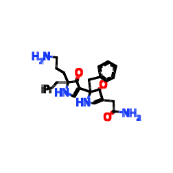 CC(C)CC1(CCCN)NC=C(C2(Cc3ccccc3)NC=C(CC(N)=O)C2=O)C1=O